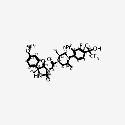 CCCc1cc(C(O)(C(F)(F)F)C(F)(F)F)ccc1N1C[C@H](C)N(C(=O)CN2C(=O)N[C@](C)(c3ccc(OC(C)C)cc3)C2=O)CC1C